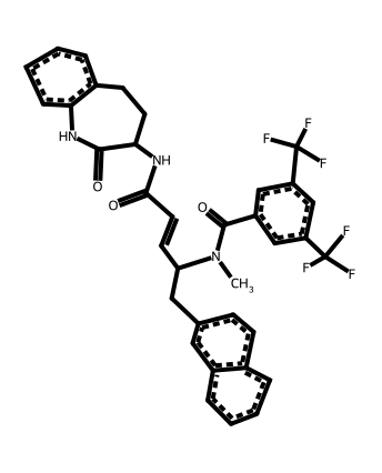 CN(C(=O)c1cc(C(F)(F)F)cc(C(F)(F)F)c1)C(C=CC(=O)NC1CCc2ccccc2NC1=O)Cc1ccc2ccccc2c1